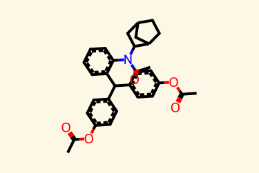 CC(=O)Oc1ccc(C(c2ccc(OC(C)=O)cc2)c2ccccc2N(C(C)=O)C2CC3CCC2C3)cc1